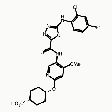 COc1cc(O[C@H]2CC[C@@H](C(=O)O)CC2)ncc1NC(=O)c1nnc(Nc2ccc(Br)cc2Cl)o1